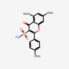 COc1ccc(-c2oc3cc(OC)cc(OC)c3c(=O)c2S(N)(=O)=O)cc1